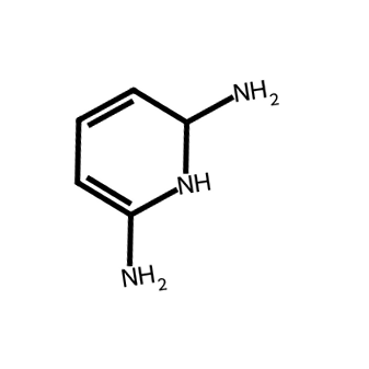 NC1=CC=CC(N)N1